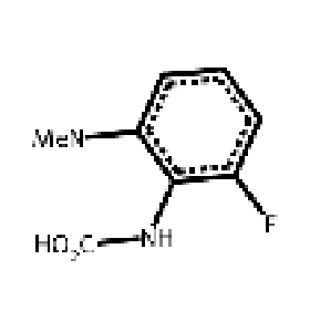 CNc1cccc(F)c1NC(=O)O